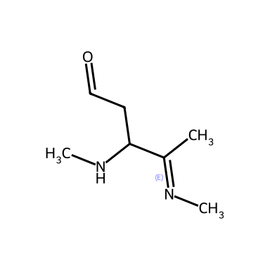 C/N=C(\C)C(CC=O)NC